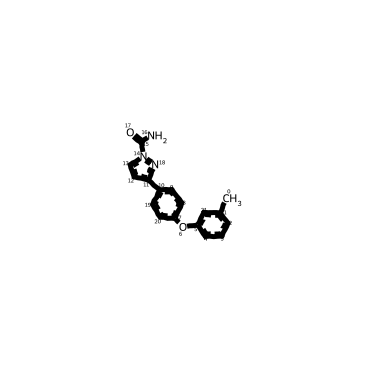 Cc1cccc(Oc2ccc(-c3ccn(C(N)=O)n3)cc2)c1